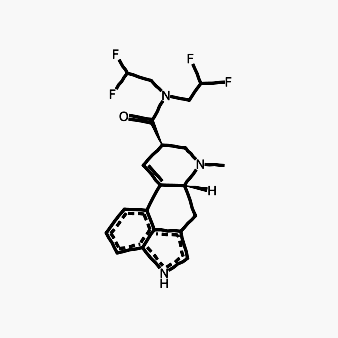 CN1C[C@H](C(=O)N(CC(F)F)CC(F)F)C=C2c3cccc4[nH]cc(c34)C[C@H]21